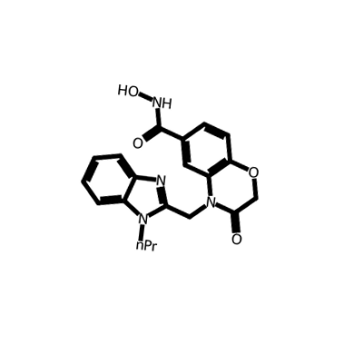 CCCn1c(CN2C(=O)COc3ccc(C(=O)NO)cc32)nc2ccccc21